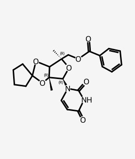 C[C@]1(COC(=O)c2ccccc2)O[C@@H](n2ccc(=O)[nH]c2=O)[C@]2(C)OC3(CCCC3)OC12